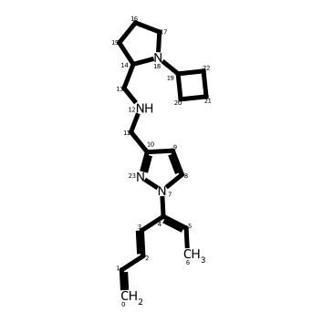 C=CC=CC(=CC)n1ccc(CNCC2CCCN2C2CCC2)n1